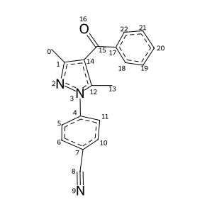 Cc1nn(-c2ccc(C#N)cc2)c(C)c1C(=O)c1ccccc1